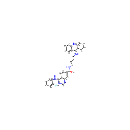 O=C(NCCCCNc1c2c(nc3ccccc13)CCCC2)c1ccc2c(Nc3ccccc3F)ncnc2c1